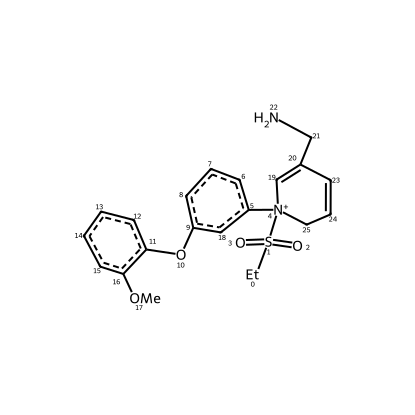 CCS(=O)(=O)[N+]1(c2cccc(Oc3ccccc3OC)c2)C=C(CN)C=CC1